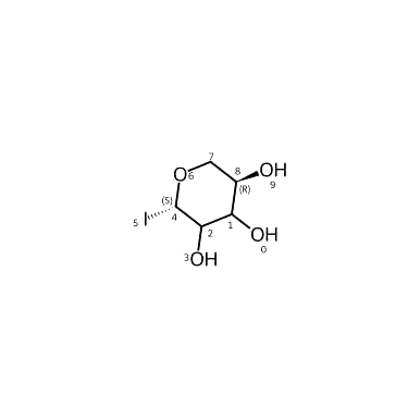 OC1C(O)[C@H](I)OC[C@H]1O